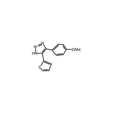 COc1ccc(C2=C(c3cccs3)N[N+]=N2)cc1